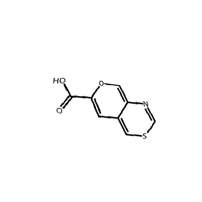 O=C(O)C1=CC2=CSC=NC2=CO1